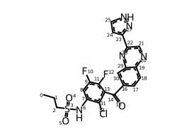 CCCS(=O)(=O)Nc1cc(F)c(F)c(C(=O)c2ccc3ncc(-c4cc[nH]n4)nc3c2)c1Cl